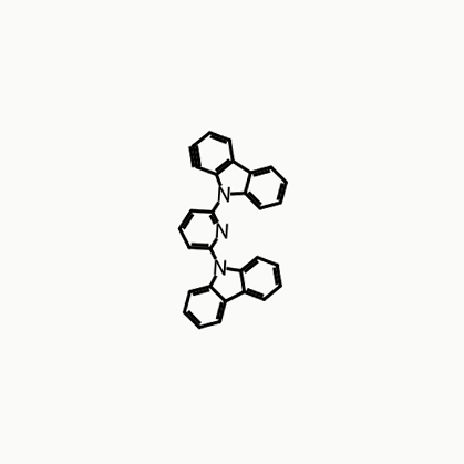 c1ccc2c3ccccc3n(-c3cccc(-n4c5ccccc5c5ccccc54)n3)c2c#1